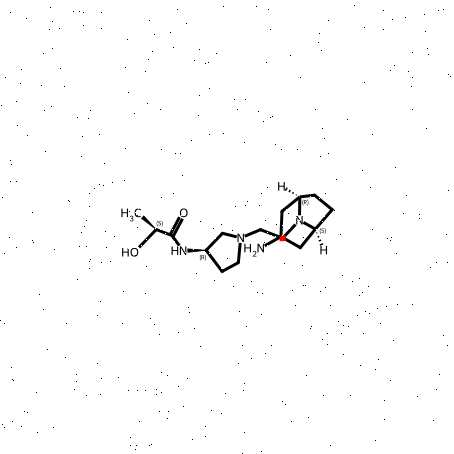 C[C@H](O)C(=O)N[C@@H]1CCN(CCN2[C@@H]3CC[C@H]2CC(N)C3)C1